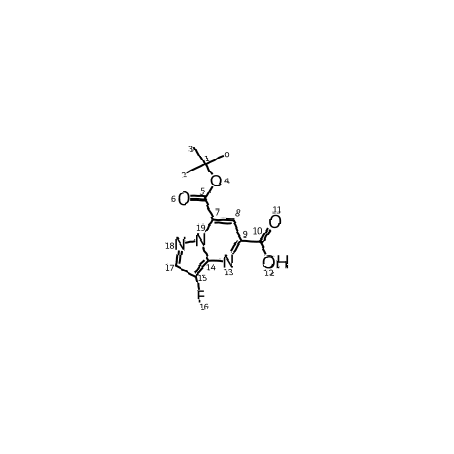 CC(C)(C)OC(=O)c1cc(C(=O)O)nc2c(F)cnn12